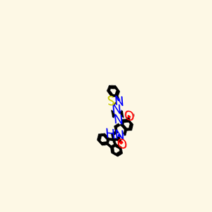 COc1ccc(CNC(=O)C2(CCCCN3CCN(c4nc5ccccc5s4)CC3)c3ccccc3-c3ccccc32)cc1